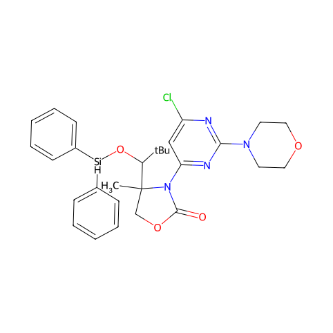 CC(C)(C)C(O[SiH](c1ccccc1)c1ccccc1)C1(C)COC(=O)N1c1cc(Cl)nc(N2CCOCC2)n1